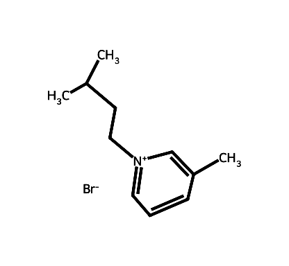 Cc1ccc[n+](CCC(C)C)c1.[Br-]